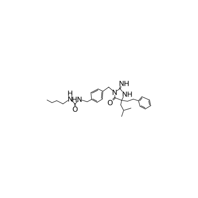 CCCCNC(=O)NCc1ccc(CN2C(=N)NC(CCc3ccccc3)(CC(C)C)C2=O)cc1